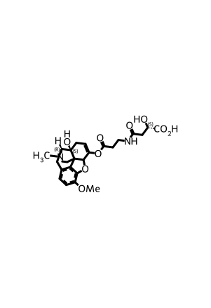 COc1ccc2c3c1OC1C(OC(=O)CCNC(=O)C[C@H](O)C(=O)O)=CC[C@@]4(O)[C@@H](C2)N(C)CCC314